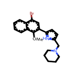 COc1c(-c2ccc(CN3CCCCC3)[nH]2)cc(Br)c2ccccc12